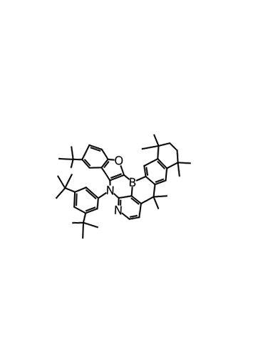 CC(C)(C)c1cc(N2c3nccc4c3B(c3cc5c(cc3C4(C)C)C(C)(C)CCC5(C)C)c3oc4ccc(C(C)(C)C)cc4c32)cc(C(C)(C)C)c1